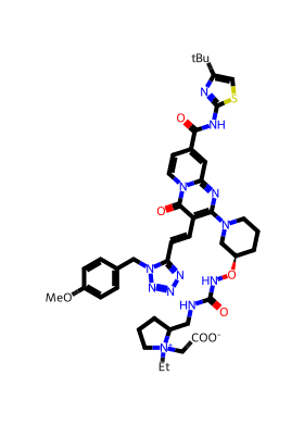 CC[N+]1(CC(=O)[O-])CCCC1CNC(=O)NO[C@@H]1CCCN(c2nc3cc(C(=O)Nc4nc(C(C)(C)C)cs4)ccn3c(=O)c2C=Cc2nnnn2Cc2ccc(OC)cc2)C1